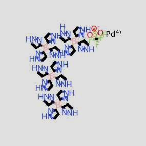 O=S(=O)([O-])C(F)(F)F.[F-].[Pd+4].c1cc([B-](c2cc[nH]n2)(c2cc[nH]n2)c2cc[nH]n2)n[nH]1.c1cc([B-](c2cc[nH]n2)(c2cc[nH]n2)c2cc[nH]n2)n[nH]1.c1cc([B-](c2cc[nH]n2)(c2cc[nH]n2)c2cc[nH]n2)n[nH]1.c1cc([B-](c2cc[nH]n2)(c2cc[nH]n2)c2cc[nH]n2)n[nH]1